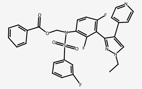 CCn1cc(-c2ccncc2)c(-c2c(F)ccc(N(COC(=O)c3ccccc3)S(=O)(=O)c3cccc(F)c3)c2F)n1